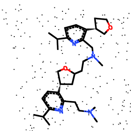 CC(C)c1ccc([C@@H]2CCOC2)c(CN(C)CCC2C[C@H](c3ccc(C(C)C)nc3CCN(C)C)CO2)n1